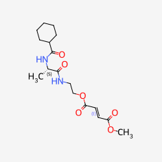 COC(=O)/C=C/C(=O)OCCNC(=O)[C@H](C)NC(=O)C1CCCCC1